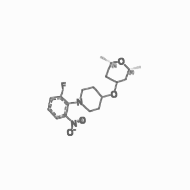 C[C@@H]1CC(OC2CCN(c3c(F)cccc3[N+](=O)[O-])CC2)C[C@H](C)O1